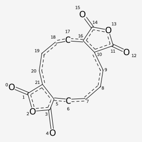 O=c1oc(=O)c2ccccc3c(=O)oc(=O)c3ccccc12